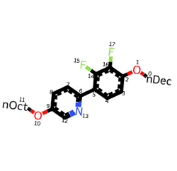 CCCCCCCCCCOc1ccc(-c2ccc(OCCCCCCCC)cn2)c(F)c1F